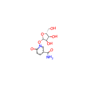 NC(=O)c1ccc(=O)n(OC2O[C@H](CO)[C@@H](O)[C@H]2O)c1